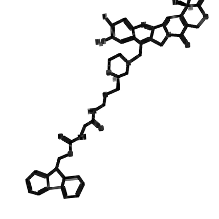 CC[C@@]1(O)C(=O)OCc2c1cc1n(c2=O)Cc2c-1nc1cc(F)c(C)cc1c2CN1CCO[C@H](COCNC(=O)CNC(=O)OCC2c3ccccc3-c3ccccc32)C1